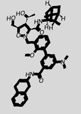 COc1c(CN2O[C@@H](CO)[C@H]([C@H](C)O)[C@H]2C(=O)N[C@H]2C[C@H]3C[C@@H]([C@@H]2C)C3(C)C)cccc1-c1cc(C(=O)NC2=CCc3ccccc3C2)cc(N(C)C)c1